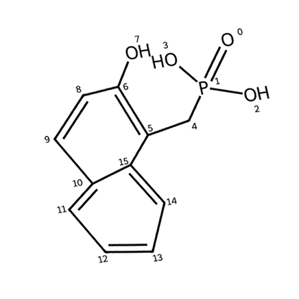 O=P(O)(O)Cc1c(O)ccc2ccccc12